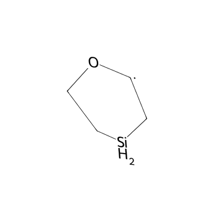 [CH]1C[SiH2]CCO1